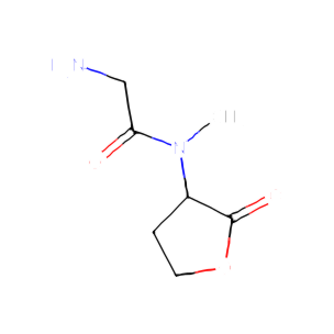 CN(C(=O)CN)C1CCOC1=O